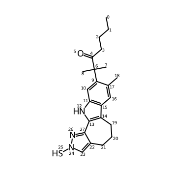 CCCCC(=O)C(C)(C)c1cc2[nH]c3c(c2cc1C)CCCc1cn(S)nc1-3